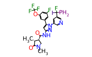 C[C@H]1C(=O)N(C)C[C@@H]1C(=O)Nc1cc(-c2cc(F)cc(OC(F)(F)F)c2)n(-c2cncc(C(F)(P)I)c2)n1